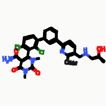 COc1nc(-c2cccc(-c3ccc(Cl)c(-c4c(C(N)=O)c(=O)n(C)c(=O)n4C)c3Cl)c2)ccc1CNCC(C)O